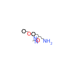 Cc1noc(C(CCCN)Cc2ccc(OCc3ccccc3)cc2)n1